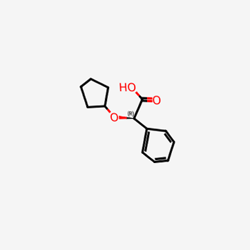 O=C(O)[C@H](OC1CCCC1)c1ccccc1